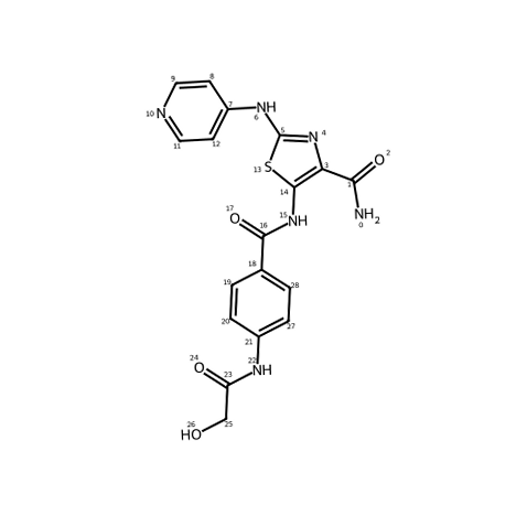 NC(=O)c1nc(Nc2ccncc2)sc1NC(=O)c1ccc(NC(=O)CO)cc1